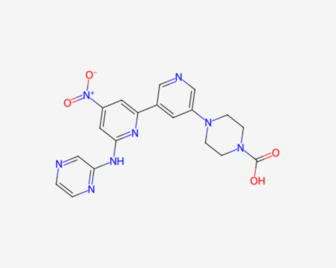 O=C(O)N1CCN(c2cncc(-c3cc([N+](=O)[O-])cc(Nc4cnccn4)n3)c2)CC1